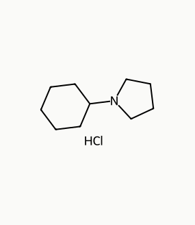 C1CCC(N2CCCC2)CC1.Cl